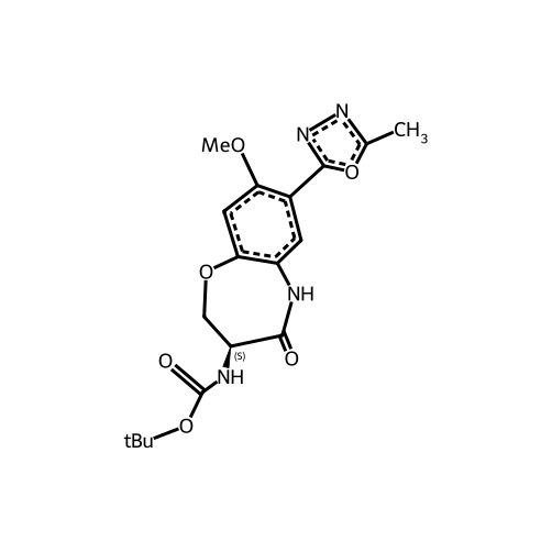 COc1cc2c(cc1-c1nnc(C)o1)NC(=O)[C@@H](NC(=O)OC(C)(C)C)CO2